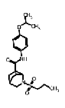 CCCS(=O)(=O)N1CC2CCC1C(C(=O)Nc1ccc(OC(C)C)cc1)C2